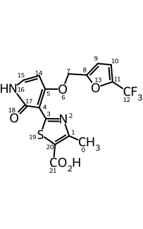 Cc1nc(-c2c(OCc3ccc(C(F)(F)F)o3)cc[nH]c2=O)sc1C(=O)O